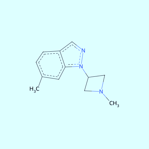 Cc1ccc2cnn(C3CN(C)C3)c2c1